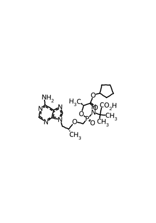 C[C@H](Cn1cnc2c(N)ncnc21)OCP(=O)(NC(C)(C)C(=O)O)O[C@@H](C)C(=O)OC1CCCC1